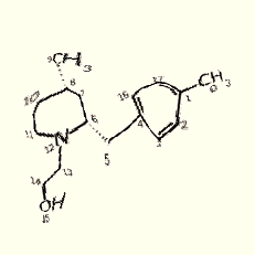 Cc1ccc(C[C@H]2C[C@@H](C)CCN2CCO)cc1